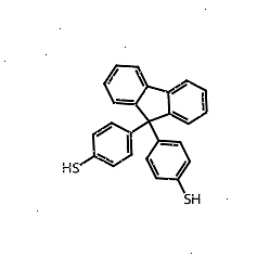 Sc1ccc(C2(c3ccc(S)cc3)c3ccccc3-c3ccccc32)cc1